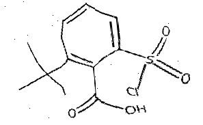 CC(C)(C)c1cccc(S(=O)(=O)Cl)c1C(=O)O